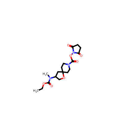 CCOC(=O)N(C)C1COC2(CCN(C(=O)ON3C(=O)CCC3=O)CC2)C1